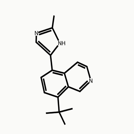 Cc1ncc(-c2ccc(C(C)(C)C)c3cnccc23)[nH]1